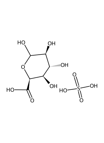 O=C(O)[C@H]1OC(O)[C@@H](O)[C@H](O)[C@H]1O.O=S(=O)(O)O